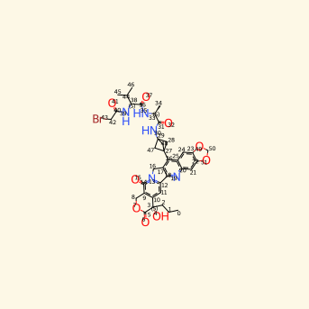 CCC[C@@]1(O)C(=O)OCc2c1cc1n(c2=O)Cc2c-1nc1cc3c(cc1c2C12CC(NC(=O)[C@H](C)NC(=O)[C@@H](NC(=O)CBr)C(C)C)(C1)C2)OCO3